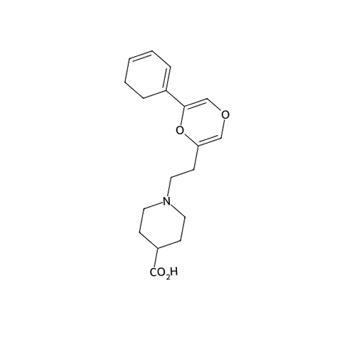 O=C(O)C1CCN(CCC2=COC=C(C3=CC=CCC3)O2)CC1